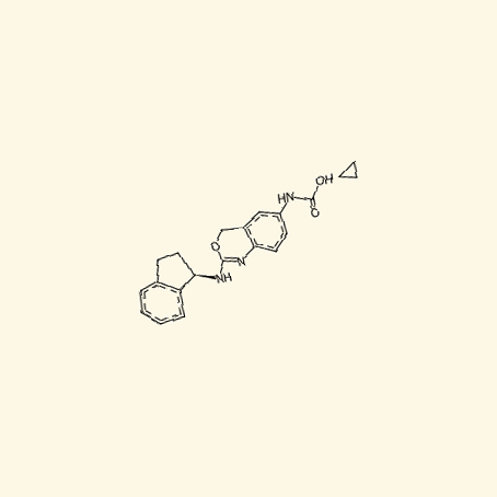 C1CC1.O=C(O)Nc1ccc2c(c1)COC(N[C@@H]1CCc3ccccc31)=N2